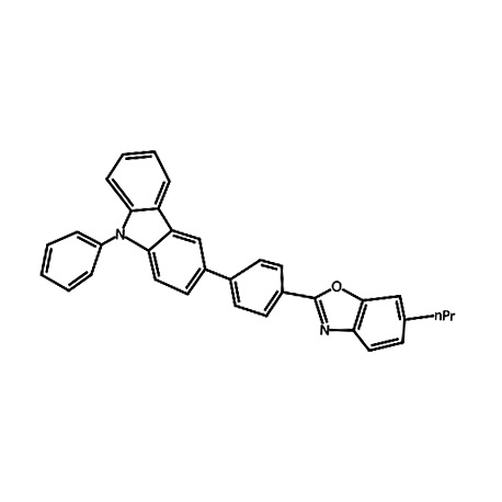 CCCc1ccc2nc(-c3ccc(-c4ccc5c(c4)c4ccccc4n5-c4ccccc4)cc3)oc2c1